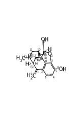 C=C1c2ccc(O)c3c2[C@]24CCN(C)[C@H]1[C@@H]2C=C[C@H](O)[C@@H]4O3